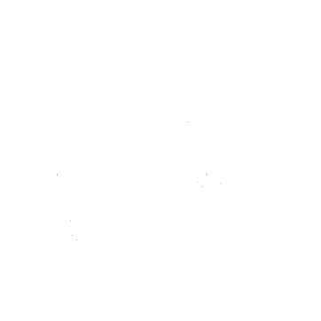 COc1cc(C(=O)NC[C@](O)(c2cc3c(c(-c4ccc(F)c(F)c4)n2)OC[C@@]3(N)C(F)(F)F)C2CC2)cc2cn(C)nc12